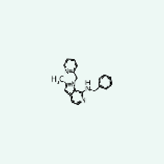 Cc1cc2ccnc(NCc3ccccc3)c2n1Cc1ccccn1